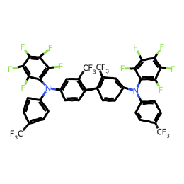 Fc1c(F)c(F)c(N(c2ccc(C(F)(F)F)cc2)c2ccc(-c3ccc(N(c4ccc(C(F)(F)F)cc4)c4c(F)c(F)c(F)c(F)c4F)cc3C(F)(F)F)c(C(F)(F)F)c2)c(F)c1F